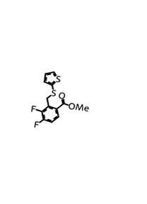 COC(=O)c1ccc(F)c(F)c1CSc1cccs1